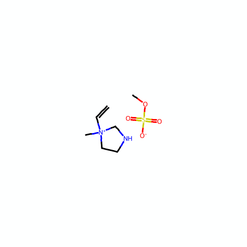 C=C[N+]1(C)CCNC1.COS(=O)(=O)[O-]